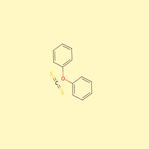 S=C=S.c1ccc(Oc2ccccc2)cc1